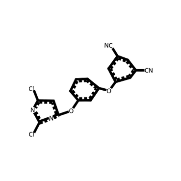 N#Cc1cc(C#N)cc(Oc2cccc(Oc3cc(Cl)nc(Cl)n3)c2)c1